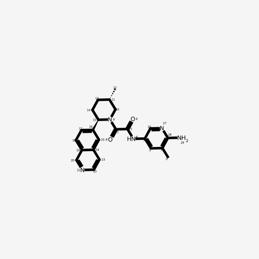 Cc1cc(NC(=O)C(=O)N2C[C@@H](C)CC[C@@H]2c2ccc3cnccc3c2)cnc1N